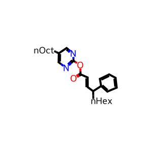 CCCCCCCCc1cnc(OC(=O)/C=C/C(CCCCCC)c2ccccc2)nc1